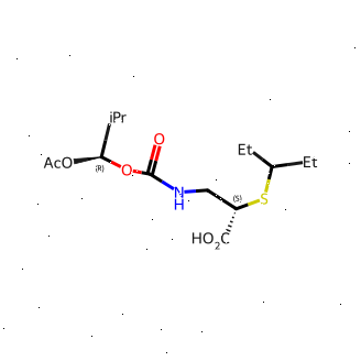 CCC(CC)S[C@@H](CNC(=O)O[C@@H](OC(C)=O)C(C)C)C(=O)O